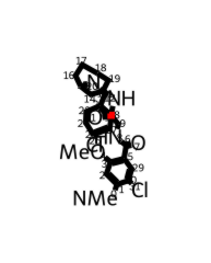 CNc1cc(OC)c(C(=O)NCC(=O)NC2CC3CCC(C2)N3Cc2ccc(Cl)cc2)cc1Cl